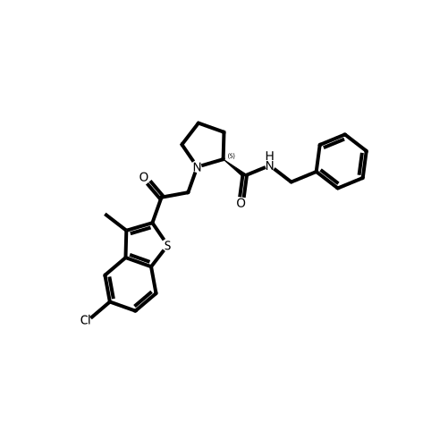 Cc1c(C(=O)CN2CCC[C@H]2C(=O)NCc2ccccc2)sc2ccc(Cl)cc12